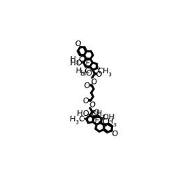 C[C@@H]1CC2C3CCC4=CC(=O)C=C[C@]4(C)[C@@]3(F)[C@@H](O)C[C@]2(C)[C@@]1(O)C(=O)COC(=O)CCCC(=O)OCC(=O)[C@@]1(O)[C@H](C)CC2C3CCC4=CC(=O)C=C[C@]4(C)[C@@]3(F)[C@@H](O)C[C@@]21C